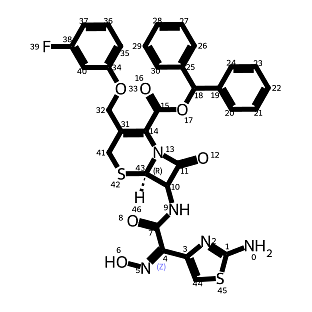 Nc1nc(/C(=N/O)C(=O)NC2C(=O)N3C(C(=O)OC(c4ccccc4)c4ccccc4)=C(COc4cccc(F)c4)CS[C@H]23)cs1